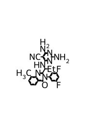 CCC(Nc1nc(N)nc(N)c1C#N)c1nc2c(C)cccc2c(=O)n1-c1cc(F)cc(F)c1